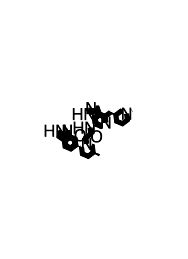 C[C@H]1CC[C@H](c2ccc3c[nH]nc3c2)N(C(=O)C(=O)Nc2cnc(C[C@@H]3CCCN(C)C3)c3cn[nH]c23)C1